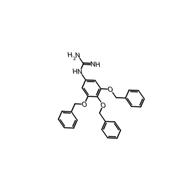 N=C(N)Nc1cc(OCc2ccccc2)c(OCc2ccccc2)c(OCc2ccccc2)c1